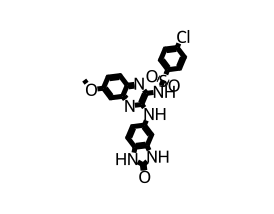 COc1ccc2nc(NS(=O)(=O)c3ccc(Cl)cc3)c(Nc3ccc4[nH]c(=O)[nH]c4c3)nc2c1